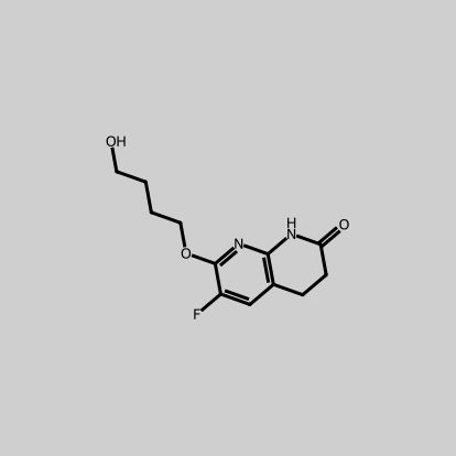 O=C1CCc2cc(F)c(OCCCCO)nc2N1